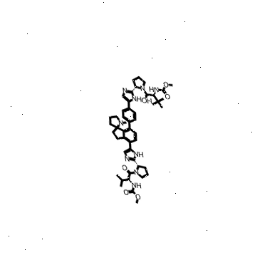 COC(=O)N[C@H](C(=O)N1CCC[C@H]1c1ncc(-c2ccc(-c3ccc(-c4cnc([C@@H]5CCCN5C(O)[C@@H](NC(=O)OC)C(C)(C)C)[nH]4)cc3)c3c2CCC32CCCN2C)[nH]1)C(C)C